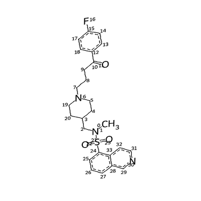 CN(CC1CCN(CCCC(=O)c2ccc(F)cc2)CC1)S(=O)(=O)c1cccc2cnccc12